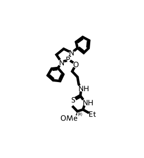 CCC(NC(=S)NCCCOP1N(c2ccccc2)CCN1c1ccccc1)[C@@H](C)OC